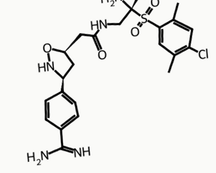 Cc1cc(S(=O)(=O)[C@@](N)(CNC(=O)C[C@H]2C[C@@H](c3ccc(C(=N)N)cc3)NO2)C(=O)O)c(C)cc1Cl